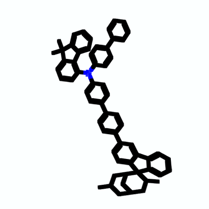 CC1CC2CC(C)C3(c4ccccc4-c4cc(-c5ccc(-c6ccc(N(c7ccc(-c8ccccc8)cc7)c7cccc8c7-c7ccccc7C8(C)C)cc6)cc5)ccc43)C(C1)C2